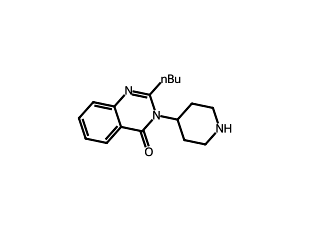 CCCCc1nc2ccccc2c(=O)n1C1CCNCC1